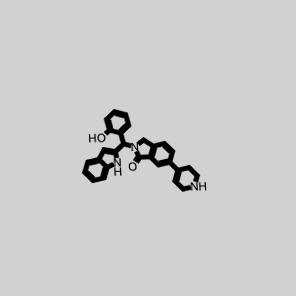 O=C1c2cc(C3=CCNCC3)ccc2CN1C(c1cc2ccccc2[nH]1)c1ccccc1O